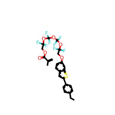 C=C(C)C(=O)OCC(F)(F)OC(F)(F)OC(F)(F)OC(F)(F)COc1ccc2cc(-c3ccc(CC)cc3)sc2c1